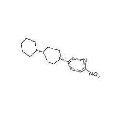 O=[N+]([O-])c1ccc(N2CCC(C3CCCCC3)CC2)cn1